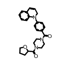 O=C(c1ccc(N2CC=Cc3ccccc32)cc1)N1CCN(C(=O)C2CCCO2)CC1